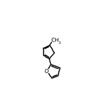 CC1=CC=C(c2ccco2)C1